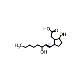 CCCCCC(O)/C=C/C1CCC(O)C1CC(=O)O